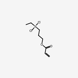 C=CC(=O)OCCC[Si](Cl)(Cl)CC